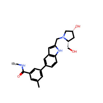 Cc1cc(C(=O)NC(C)(C)C)cc(-c2ccc3[nH]c(CN4C[C@H](O)C[C@@H]4CO)cc3c2)c1